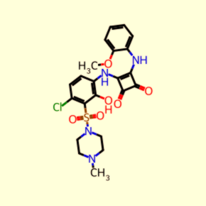 COc1ccccc1Nc1c(Nc2ccc(Cl)c(S(=O)(=O)N3CCN(C)CC3)c2O)c(=O)c1=O